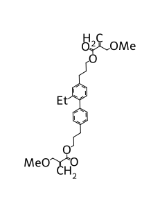 C=C(COC)C(=O)OCCCc1ccc(-c2ccc(CCCOC(=O)C(=C)COC)cc2CC)cc1